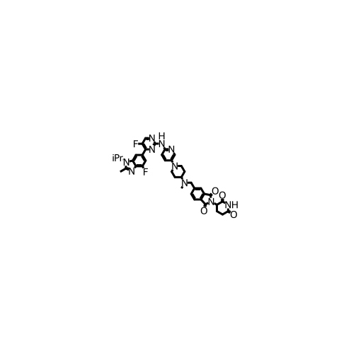 Cc1nc2c(F)cc(-c3nc(Nc4ccc(N5CCC(N(C)Cc6ccc7c(c6)C(=O)N(C6CCC(=O)NC6=O)C7=O)CC5)cn4)ncc3F)cc2n1C(C)C